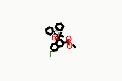 CCOC(=O)c1cc(O[Si](c2ccccc2)(c2ccccc2)C(C)(C)C)c2ccc(F)cc2c1